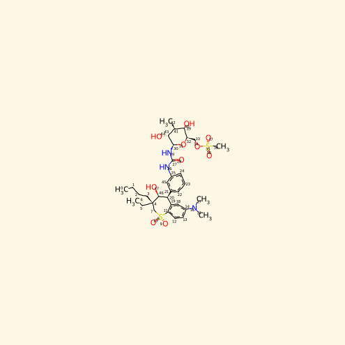 CCCC[C@]1(CC)CS(=O)(=O)c2ccc(N(C)C)cc2[C@H](c2cccc(NC(=O)N[C@@H]3O[C@H](COS(C)(=O)=O)[C@@H](O)[C@H](C)[C@H]3O)c2)[C@@H]1O